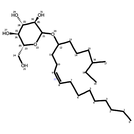 CCCCCCCC/C=C\CCC(CCCC(C)CC)OC1O[C@H](CO)[C@@H](O)[C@H](O)[C@H]1O